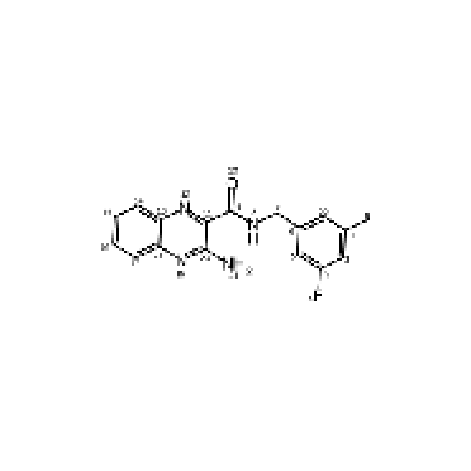 Cc1cc(F)cc(CNC(=O)c2nc3ccccc3nc2N)c1